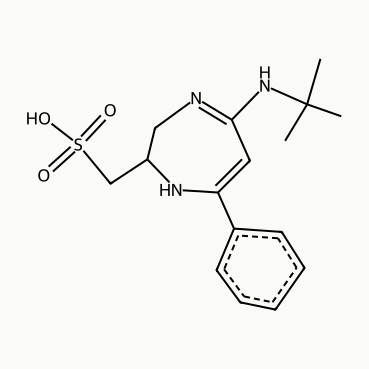 CC(C)(C)NC1=NCC(CS(=O)(=O)O)NC(c2ccccc2)=C1